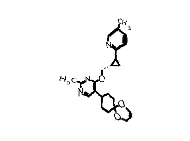 Cc1ccc(C2C[C@@H]2COc2nc(C)ncc2C2CCC3(CC2)OCCO3)nc1